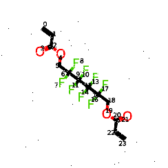 C=CC(=O)OCC(F)(F)C(F)(F)C(F)(F)C(F)(F)COC(=O)C=C